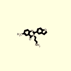 Cc1ccc2nc(-c3ccc4occc4c3)n(CCCN)c(=O)c2c1